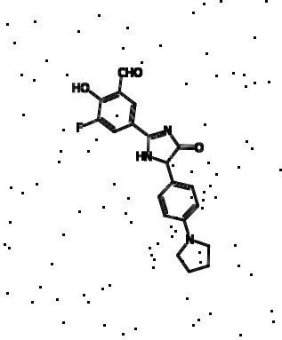 O=Cc1cc(C2=NC(=O)C(c3ccc(N4CCCC4)cc3)N2)cc(F)c1O